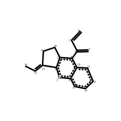 C=CC(=C)c1c2c(nc3ccccc13)/C(=C/C)CC2